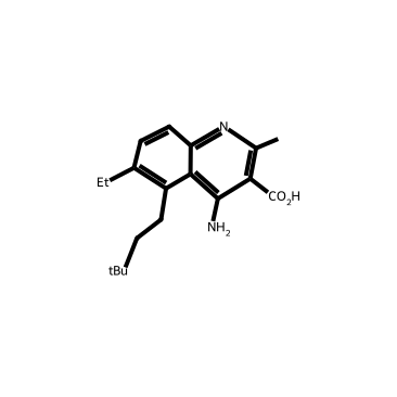 CCc1ccc2nc(C)c(C(=O)O)c(N)c2c1CCC(C)(C)C